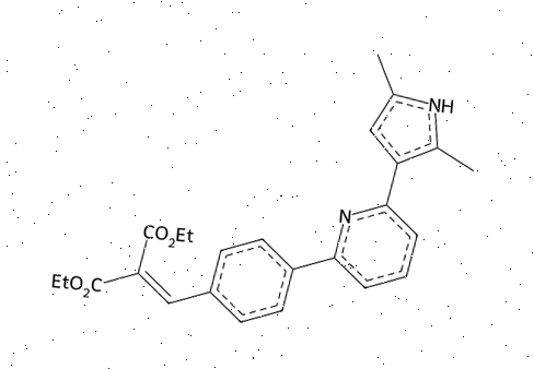 CCOC(=O)C(=Cc1ccc(-c2cccc(-c3cc(C)[nH]c3C)n2)cc1)C(=O)OCC